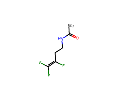 CC(C)(C)C(=O)NCCC(F)=C(F)F